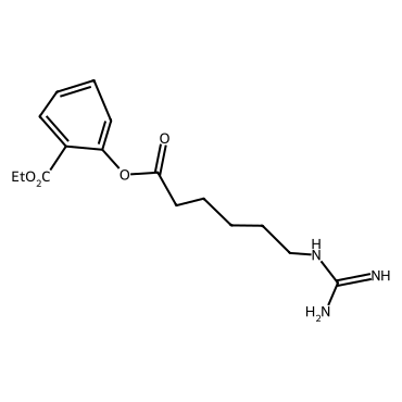 CCOC(=O)c1ccccc1OC(=O)CCCCCNC(=N)N